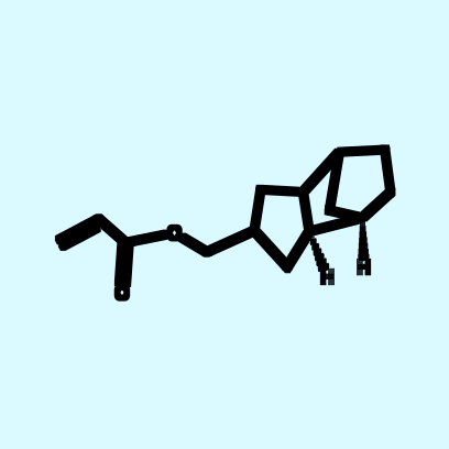 C=CC(=O)OCC1CC2C3CC[C@H](C3)[C@H]2C1